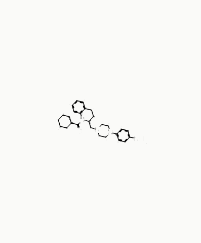 Nc1ccc(N2CCN(CC3CCc4ccccc4N3C(=O)C3CCCCC3)CC2)cc1